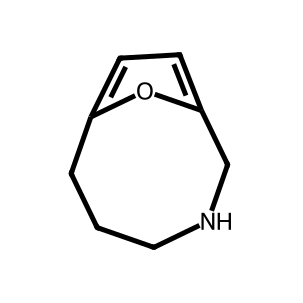 c1cc2oc1CCCNC2